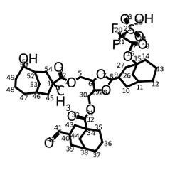 CC1(C(=O)OCC2OC(C3CC4CCCC(OC(=O)C(F)(F)S(=O)(=O)O)(C4)C3)OC2COC(=O)C23CCCC(CC(C=O)C2)C3)CC2CCCC(O)C(C2)C1